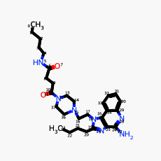 CCCCCNC(=O)CCC(=O)N1CCN(CCn2c(CCCC)nc3c(N)nc4ccccc4c32)CC1